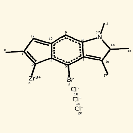 CC1=[C]([Zr+3])c2c(Br)c3c(cc2=C1)N(C)C(C)C=3C.[Cl-].[Cl-].[Cl-]